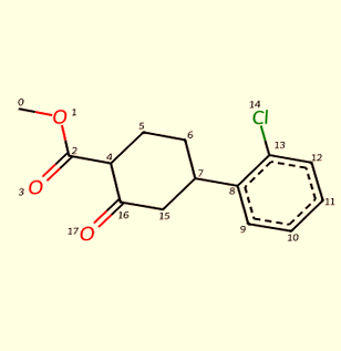 COC(=O)C1CCC(c2ccccc2Cl)CC1=O